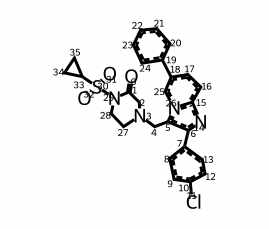 O=C1CN(Cc2c(-c3ccc(Cl)cc3)nc3ccc(-c4ccccc4)cn23)CCN1S(=O)(=O)C1CC1